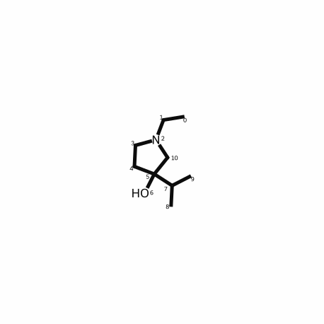 CCN1CCC(O)(C(C)C)C1